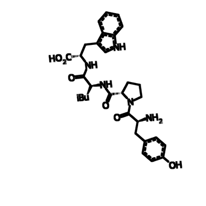 CC[C@H](C)[C@H](NC(=O)[C@@H]1CCCN1C(=O)[C@@H](N)Cc1ccc(O)cc1)C(=O)N[C@@H](Cc1c[nH]c2ccccc12)C(=O)O